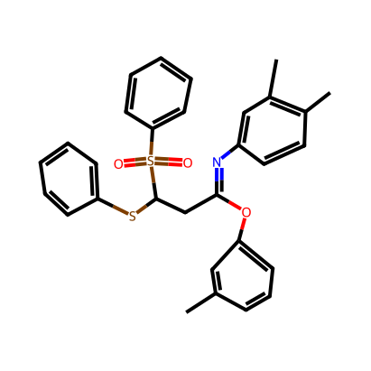 Cc1cccc(OC(CC(Sc2ccccc2)S(=O)(=O)c2ccccc2)=Nc2ccc(C)c(C)c2)c1